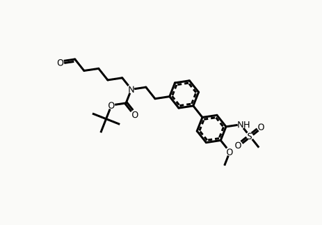 COc1ccc(-c2cccc(CCN(CCCCC=O)C(=O)OC(C)(C)C)c2)cc1NS(C)(=O)=O